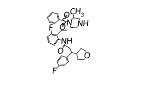 C[C@H]1CNC[C@H](CCc2c(F)cccc2NC(=O)CC(c2ccc(F)cc2)C2CCOCC2)N1S(=O)(=O)c1ccccc1